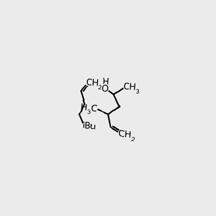 C=CC(C)CC(C)O.C=CCCC(C)CC